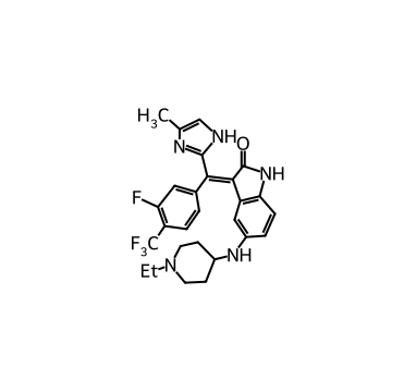 CCN1CCC(Nc2ccc3c(c2)/C(=C(\c2ccc(C(F)(F)F)c(F)c2)c2nc(C)c[nH]2)C(=O)N3)CC1